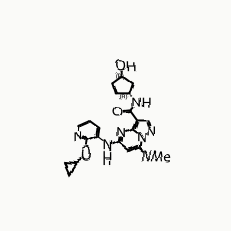 CNc1cc(Nc2cccnc2OC2CC2)nc2c(C(=O)N[C@@H]3CC[C@@H](O)C3)cnn12